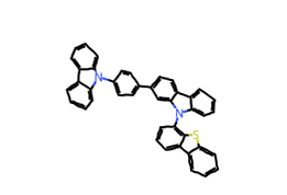 c1ccc2c(c1)sc1c(-n3c4ccccc4c4ccc(-c5ccc(-n6c7ccccc7c7ccccc76)cc5)cc43)cccc12